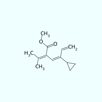 C=C/C(=C\C(C(=O)OC)=C(C)C)C1CC1